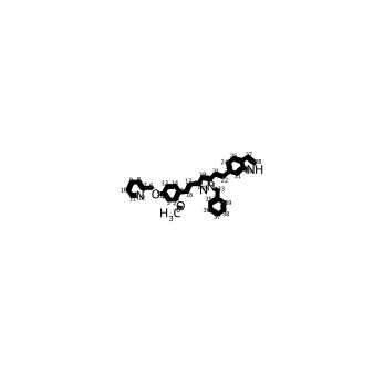 COc1cc(OCc2ccccn2)ccc1/C=C/c1cc(/C=C/c2ccc3cc[nH]c3c2)n(Cc2ccccc2)n1